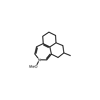 CON1C=CC2=C3C(=C1)CC(C)CC3CCC2